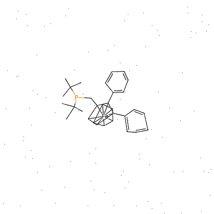 CC(C)(C)P(C[C]12[CH]3[CH]4[C]5(c6ccccc6)[C]1(c1ccccc1)[Fe]34251678[CH]2[CH]1[CH]6[CH]7[CH]28)C(C)(C)C